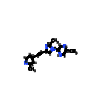 Cc1cnc(-n2cc(C#Cc3ccnc(C)c3)nc2C)cn1